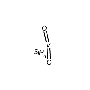 [O]=[V]=[O].[SiH4]